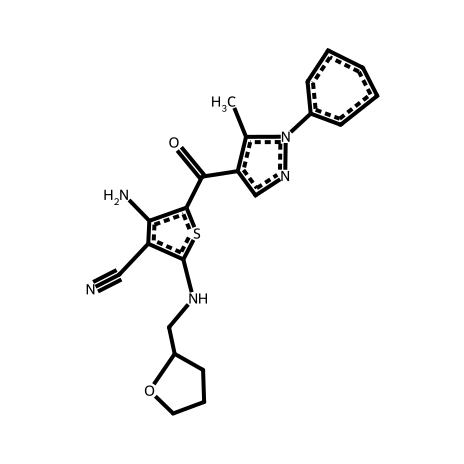 Cc1c(C(=O)c2sc(NCC3CCCO3)c(C#N)c2N)cnn1-c1ccccc1